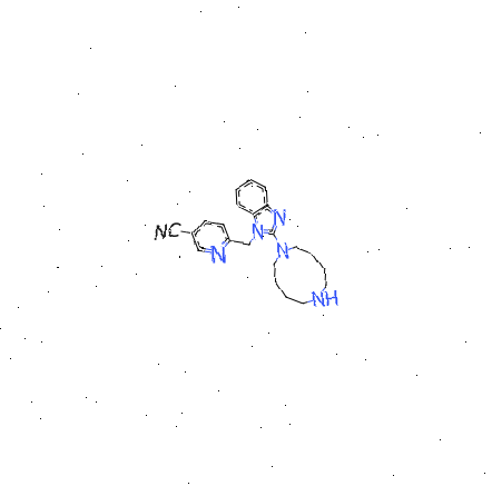 N#Cc1ccc(Cn2c(N3CCCCNCCCC3)nc3ccccc32)nc1